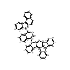 c1ccc2c(c1)ccc1c2c2ccccc2n1-c1nnc(-n2c3ccccc3c3c4c5ccccc5n5c6ccccc6c(cc32)c45)c2ccccc12